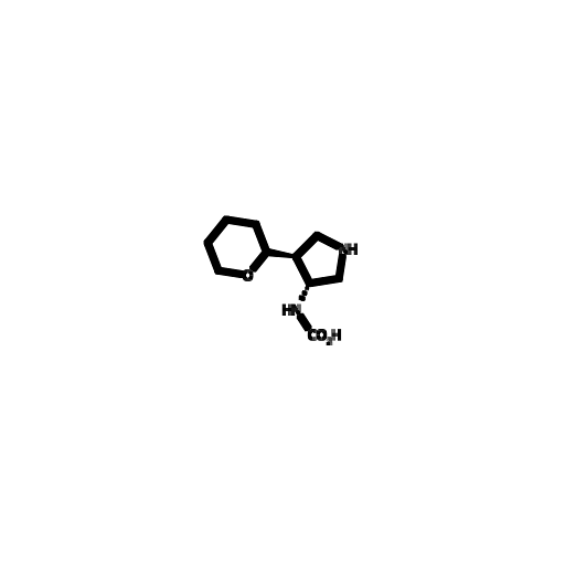 O=C(O)N[C@H]1CNC[C@@H]1C1CCCCO1